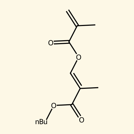 C=C(C)C(=O)OC=C(C)C(=O)OCCCC